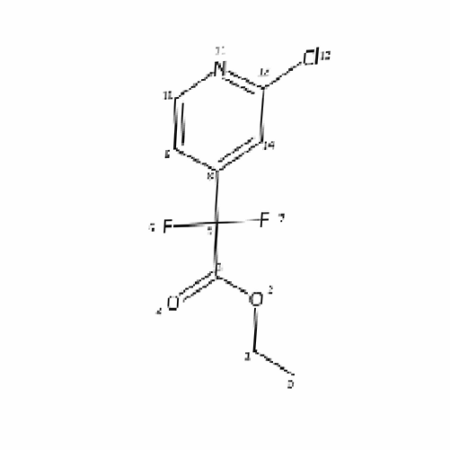 CCOC(=O)C(F)(F)c1ccnc(Cl)c1